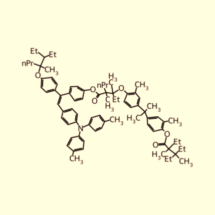 CCCC(C)(Oc1ccc(C(=Cc2ccc(N(c3ccc(C)cc3)c3ccc(C)cc3)cc2)c2ccc(OC(=O)C(C)(CCC)C(C)(CC)Oc3ccc(C(C)(C)c4ccc(OC(=O)C(C)(CC)C(C)(CC)CC)c(C)c4)cc3C)cc2)cc1)C(CC)CC